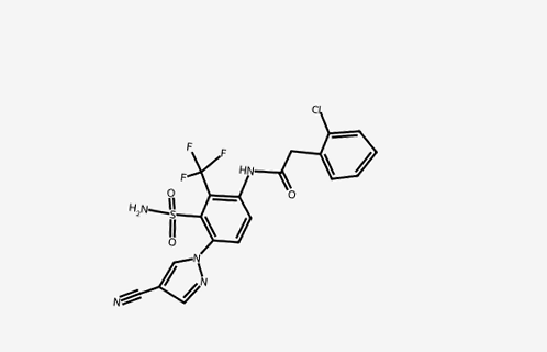 N#Cc1cnn(-c2ccc(NC(=O)Cc3ccccc3Cl)c(C(F)(F)F)c2S(N)(=O)=O)c1